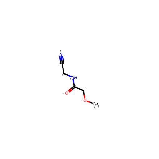 COCC(=O)NCC#N